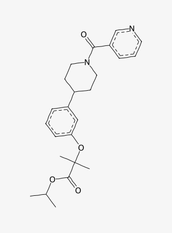 CC(C)OC(=O)C(C)(C)Oc1cccc(C2CCN(C(=O)c3cccnc3)CC2)c1